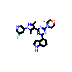 Cc1nn(-c2cncc(F)c2)c(C)c1-c1nc(-c2cccc3[nH]ccc23)nc(N2CCOC[C@H]2C)n1